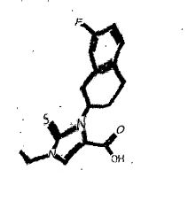 CCn1cc(C(=O)O)n(C2CCc3ccc(F)cc3C2)c1=S